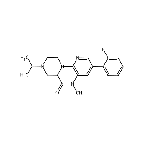 CC(C)N1CCN2c3ncc(-c4ccccc4F)cc3N(C)C(=O)C2C1